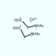 CC(=O)NCC(=O)[O-].CC(=O)NCC(=O)[O-].[Ca+2]